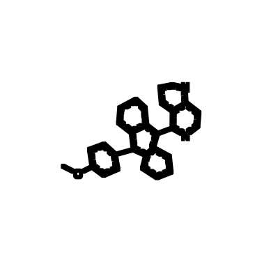 COc1ccc(-c2c3ccccc3c(-c3nccc4ncccc34)c3ccccc23)cc1